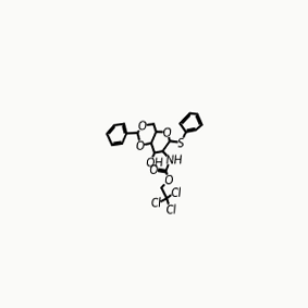 O=C(NC1C(Sc2ccccc2)OC2COC(c3ccccc3)OC2C1O)OCC(Cl)(Cl)Cl